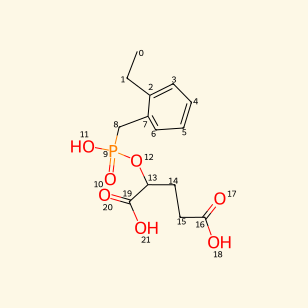 CCc1ccccc1CP(=O)(O)OC(CCC(=O)O)C(=O)O